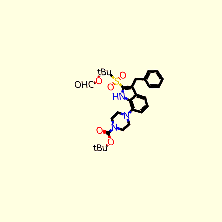 CC(C)(C)OC(=O)N1CCN(c2cccc3c(Cc4ccccc4)c(S(C)(=O)=O)[nH]c23)CC1.CC(C)(C)OC=O